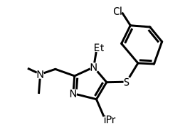 CCn1c(CN(C)C)nc(C(C)C)c1Sc1cccc(Cl)c1